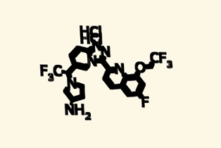 Cl.Cl.N[C@H]1CCN([C@H](c2ccc3nnc(-c4ccc5cc(F)cc(OCC(F)(F)F)c5n4)n3c2)C(F)(F)F)C1